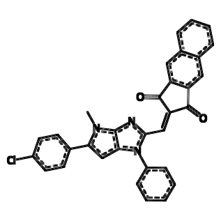 Cn1c(-c2ccc(Cl)cc2)cc2c1nc(C=C1C(=O)c3cc4ccccc4cc3C1=O)n2-c1ccccc1